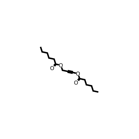 CCCCCC(=O)OC#CCOC(=O)CCCCC